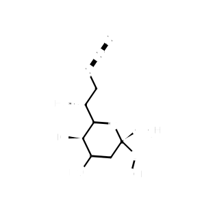 [N-]=[N+]=NC[C@@H](O)C1O[C@@](SO)(C(=O)O)CC(O)[C@H]1O